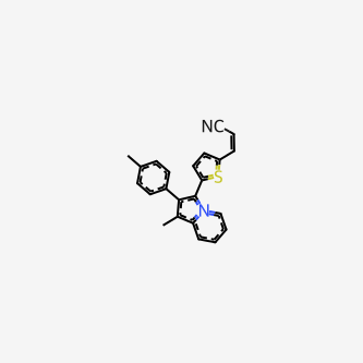 Cc1ccc(-c2c(C)c3ccccn3c2-c2ccc(/C=C\C#N)s2)cc1